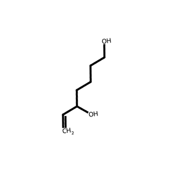 C=CC(O)CCCCO